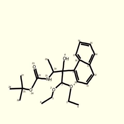 CCOC(OCC)C(O)(c1cccc2ccccc12)C(C)NC(=O)OC(C)(C)C